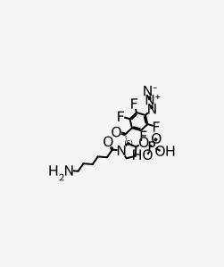 [N-]=[N+]=Nc1c(F)c(F)c(C(=O)[C@@H]2C(OP(=O)(O)O)CCN2C(=O)CCCCCN)c(F)c1F